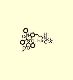 CCOC(=O)CC(c1ccccc1)N1C(=O)c2cc(CCCC(S)NC(=O)OC(C)(C)C)ccc2N(c2ccccc2)C(=O)C1c1ccccc1